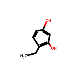 CCc1c[c]c(O)cc1O